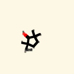 CCCCC[C@]1(C)CCC(C)(C)C1=O